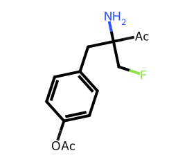 CC(=O)Oc1ccc(CC(N)(CF)C(C)=O)cc1